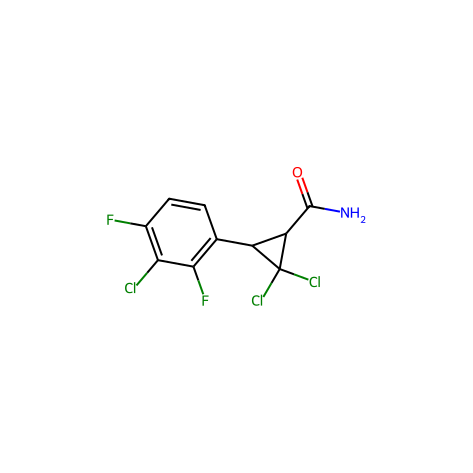 NC(=O)C1C(c2ccc(F)c(Cl)c2F)C1(Cl)Cl